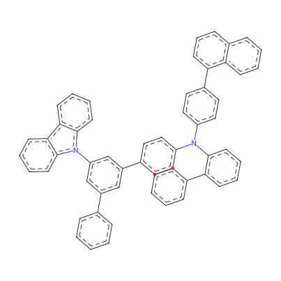 c1ccc(-c2cc(-c3ccc(N(c4ccc(-c5cccc6ccccc56)cc4)c4ccccc4-c4ccccc4)cc3)cc(-n3c4ccccc4c4ccccc43)c2)cc1